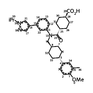 COc1ccc([C@H]2CC[C@H](CN(c3cccc(-c4cnn(C(C)C)c4)c3)C(=O)[C@H]3CC[C@H](C(=O)O)CC3)CC2)cc1C